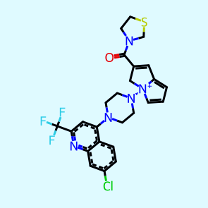 O=C(C1=CC2=CC=C[N@@+]2(N2CCN(c3cc(C(F)(F)F)nc4cc(Cl)ccc34)CC2)C1)N1CCSC1